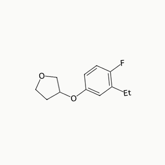 CCc1cc(OC2CCOC2)ccc1F